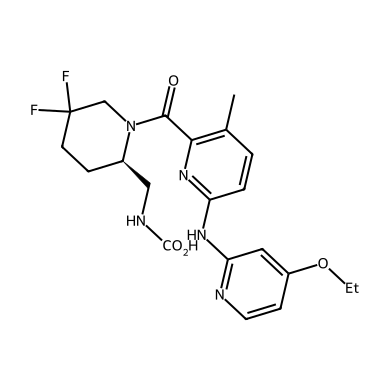 CCOc1ccnc(Nc2ccc(C)c(C(=O)N3CC(F)(F)CC[C@@H]3CNC(=O)O)n2)c1